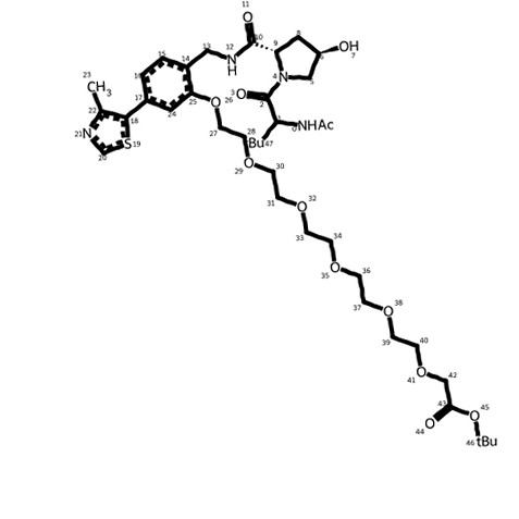 CC(=O)NC(C(=O)N1C[C@H](O)C[C@H]1C(=O)NCc1ccc(-c2scnc2C)cc1OCCOCCOCCOCCOCCOCC(=O)OC(C)(C)C)C(C)(C)C